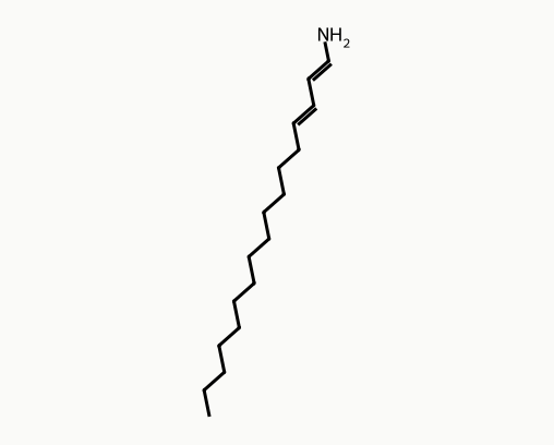 CCCCCCCCCCCCCC=CC=CN